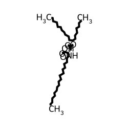 CCCCCCCCCCCCCCCCCC(=O)N[C@@H](CC(=O)OC(CCCCCCCC)CCCCCCCCCCC)C(=O)O